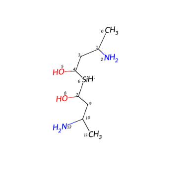 CC(N)CC(O)[SiH]C(O)CC(C)N